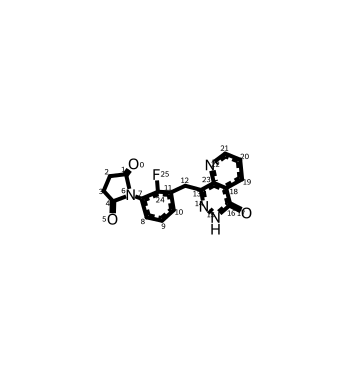 O=C1CCC(=O)N1c1cccc(Cc2n[nH]c(=O)c3cccnc23)c1F